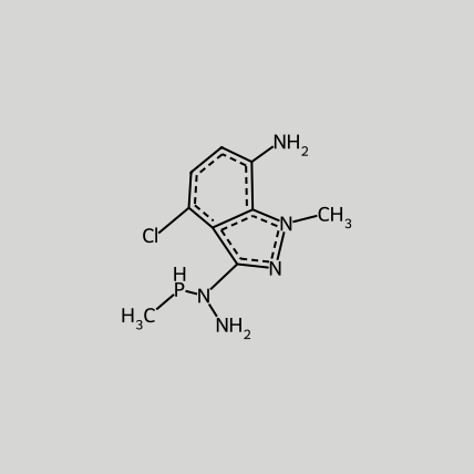 CPN(N)c1nn(C)c2c(N)ccc(Cl)c12